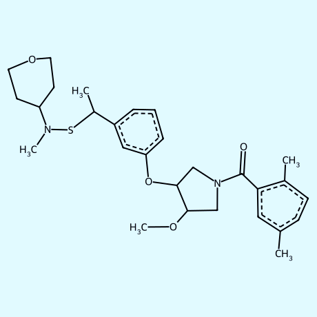 COC1CN(C(=O)c2cc(C)ccc2C)CC1Oc1cccc(C(C)SN(C)C2CCOCC2)c1